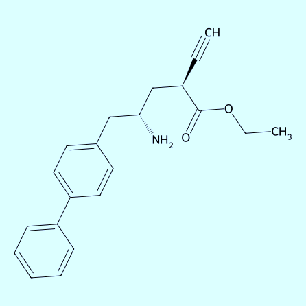 C#C[C@H](C[C@H](N)Cc1ccc(-c2ccccc2)cc1)C(=O)OCC